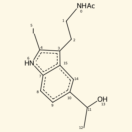 CC(=O)NCCc1c(I)[nH]c2ccc(C(C)O)cc12